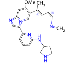 C=N/C=C\C=C(/C)c1cn2c(-c3cccc(NC4CCNC4)n3)cnc2cc1OC